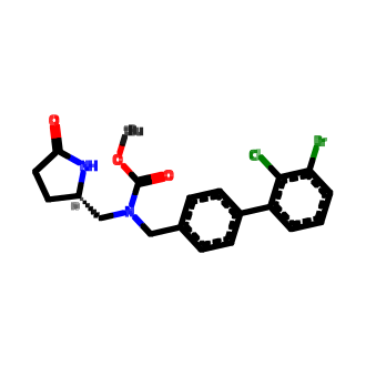 CC(C)(C)OC(=O)N(Cc1ccc(-c2cccc(Br)c2Cl)cc1)C[C@@H]1CCC(=O)N1